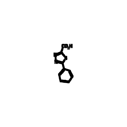 O=C(O)c1nnc(-c2ccccc2)s1